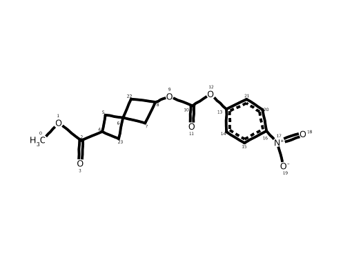 COC(=O)C1CC2(CC(OC(=O)Oc3ccc([N+](=O)[O-])cc3)C2)C1